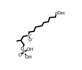 CCCCCCCCCCCCCCCCCC[S+]([O-])CC(C)COP(=O)(O)O